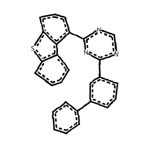 c1ccc(-c2cccc(-c3ncnc(-c4cccc5sc6ccccc6c45)n3)c2)cc1